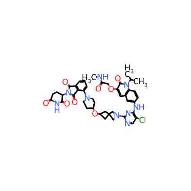 CNC(=O)COc1cc2cc(Nc3nc(N4CC5(CC(OC6CCN(c7cccc8c7C(=O)N(C7CCC(=O)NC7=O)C8=O)CC6)C5)C4)ncc3Cl)ccc2n(C(C)C)c1=O